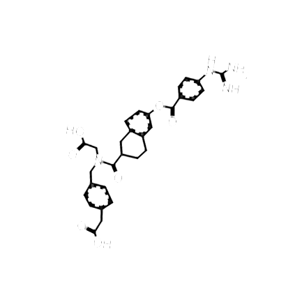 N=C(N)Nc1ccc(C(=O)Oc2ccc3c(c2)CCC(C(=O)N(CC(=O)O)Cc2ccc(CC(=O)O)cc2)C3)cc1